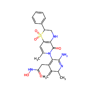 C=C1C(CC(=O)NO)=C(n2c(C)cc3c(c2=O)NCC(c2ccccc2)S3(=O)=O)C(N)=NC1C